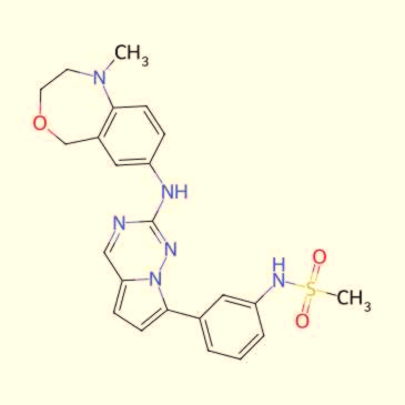 CN1CCOCc2cc(Nc3ncc4ccc(-c5cccc(NS(C)(=O)=O)c5)n4n3)ccc21